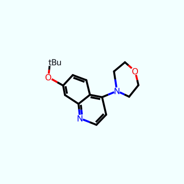 CC(C)(C)Oc1ccc2c(N3CCOCC3)ccnc2c1